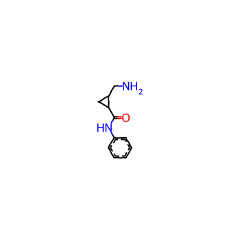 NCC1CC1C(=O)Nc1ccccc1